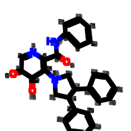 O=C1C=NC(C(=O)Nc2ccccc2)=C(N2CC(c3ccccc3)C(c3ccccc3)C2)C1=O